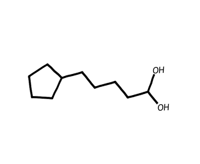 OC(O)CCCCC1CCCC1